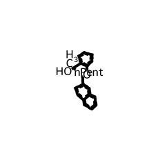 CCCCCC(C)(O)c1ccccc1OCc1ccc2ccccc2c1